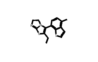 CCC1=C(c2ccc(C)c3ccsc23)N2CCN=C2S1